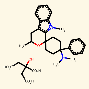 CC1Cc2c(n(C)c3ccccc23)C2(CCC(c3ccccc3)(N(C)C)CC2)O1.O=C(O)CC(O)(CC(=O)O)C(=O)O